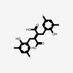 O=C(O)C(Cc1cc(I)cc(I)c1O)=C(Cc1cc(I)cc(I)c1O)C(=O)O